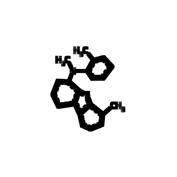 Cc1ccccc1N(C)c1cccc2c1sc1c(C)cccc12